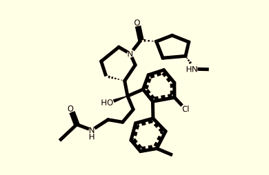 CN[C@H]1CC[C@@H](C(=O)N2CCC[C@@H]([C@@](O)(CCCNC(C)=O)c3cccc(Cl)c3-c3cccc(C)c3)C2)C1